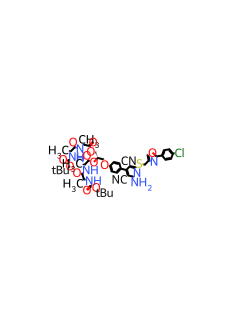 C[C@H](NC(=O)OC(C)(C)C)C(=O)N[C@@H](C)C(=O)OC[C@H](COc1ccc(-c2c(C#N)c(N)nc(SCc3coc(-c4ccc(Cl)cc4)n3)c2C#N)cc1)OC(=O)[C@H](C)NC(=O)[C@H](C)NC(=O)OC(C)(C)C